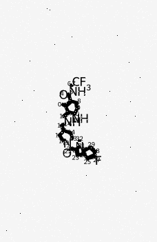 CC1=C(C(=O)NCC(F)(F)F)C=CC(=N)/C1=C\NCC1CCN(C(=O)c2cc3cc(F)ccc3n2C)CC1